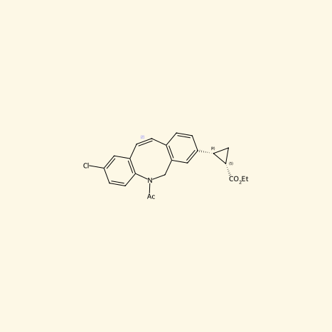 CCOC(=O)[C@H]1C[C@H]1c1ccc2c(c1)CN(C(C)=O)c1ccc(Cl)cc1/C=C\2